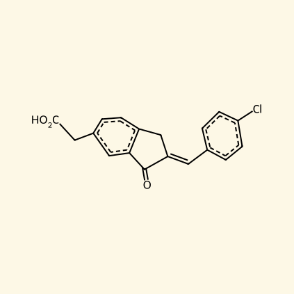 O=C(O)Cc1ccc2c(c1)C(=O)/C(=C/c1ccc(Cl)cc1)C2